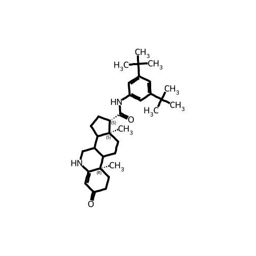 CC(C)(C)c1cc(NC(=O)[C@H]2CCC3C4CNC5=CC(=O)CC[C@]5(C)C4CC[C@@]32C)cc(C(C)(C)C)c1